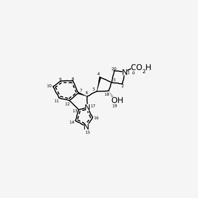 O=C(O)N1CC2(C[C@H]([C@@H]3c4ccccc4-c4cncn43)[C@H]2O)C1